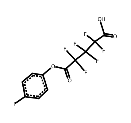 O=C(O)C(F)(F)C(F)(F)C(F)(F)C(=O)Oc1ccc(I)cc1